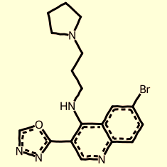 Brc1ccc2ncc(-c3nnco3)c(NCCCN3CCCC3)c2c1